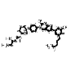 C[C@H](N)CCCc1cc(-c2cc3cn(-c4ccc([C@@H]5CCC[C@@H](CCNC(=N)CN)N5)cc4)c(=O)nc3[nH]2)cc(C(F)(F)F)c1